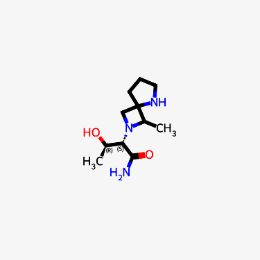 CC1N([C@H](C(N)=O)[C@@H](C)O)CC12CCCN2